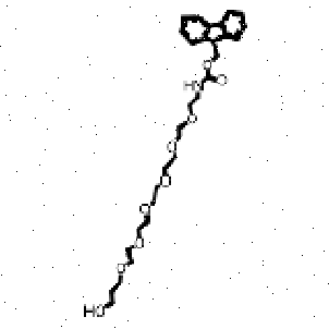 O=C(NCCOCCOCCOCCOCCOCCOCCCO)OCC1c2ccccc2-c2ccccc21